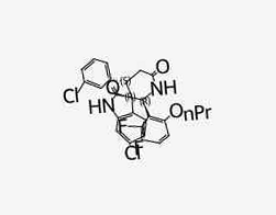 CCCOc1ccc(F)c(F)c1[C@@H]1NC(=O)C[C@@H](c2cccc(Cl)c2)[C@]12C(=O)Nc1cc(Cl)ccc12